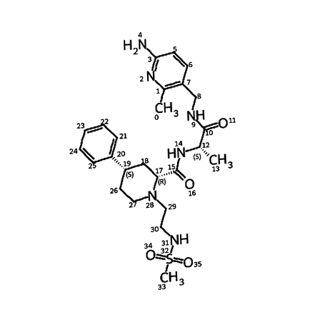 Cc1nc(N)ccc1CNC(=O)[C@H](C)NC(=O)[C@H]1C[C@@H](c2ccccc2)CCN1CCNS(C)(=O)=O